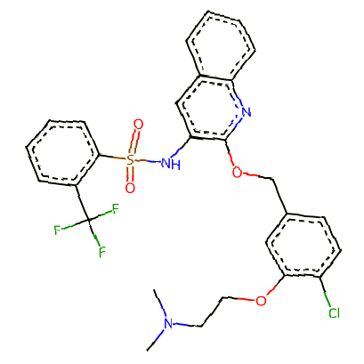 CN(C)CCOc1cc(COc2nc3ccccc3cc2NS(=O)(=O)c2ccccc2C(F)(F)F)ccc1Cl